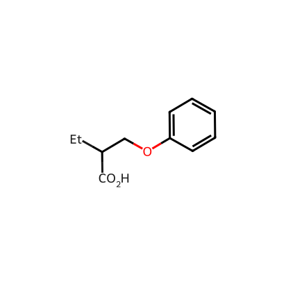 CCC(COc1ccccc1)C(=O)O